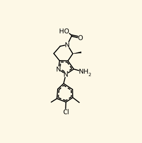 Cc1cc(-n2nc3c(c2N)[C@H](C)N(C(=O)O)CC3)cc(C)c1Cl